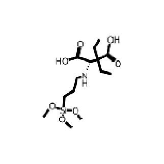 CCC(CC)(C(=O)O)[C@H](NCCC[Si](OC)(OC)OC)C(=O)O